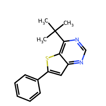 CC(C)(C)c1ncnc2cc(-c3ccccc3)sc12